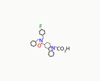 O=C(O)Cn1c2c(c3ccccc31)CC(C(=O)N(Cc1ccccc1)Cc1ccc(F)cc1)CC2